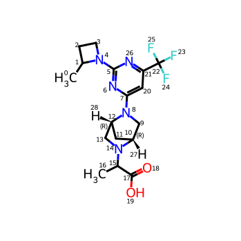 CC1CCN1c1nc(N2C[C@H]3C[C@@H]2CN3C(C)C(=O)O)cc(C(F)(F)F)n1